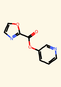 O=C(Oc1cccnc1)c1ncco1